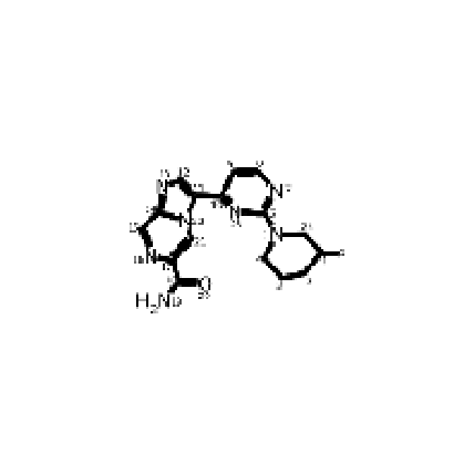 CC1CCCN(c2nccc(-c3cnc4cnc(C(N)=O)cn34)n2)C1